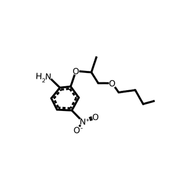 CCCCOCC(C)Oc1cc([N+](=O)[O-])ccc1N